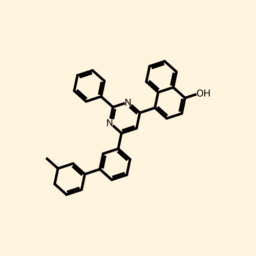 CC1C=C(c2cccc(-c3cc(-c4ccc(O)c5ccccc45)nc(-c4ccccc4)n3)c2)C=CC1